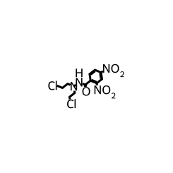 O=C(NN(CCCl)CCCl)c1ccc([N+](=O)[O-])cc1[N+](=O)[O-]